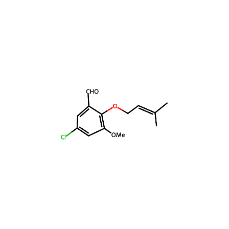 COc1cc(Cl)cc(C=O)c1OCC=C(C)C